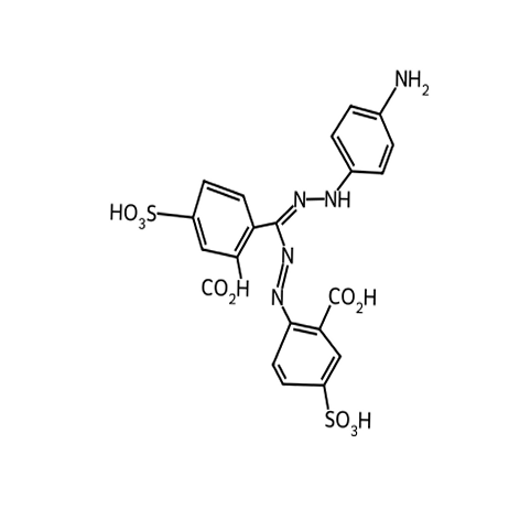 Nc1ccc(NN=C(N=Nc2ccc(S(=O)(=O)O)cc2C(=O)O)c2ccc(S(=O)(=O)O)cc2C(=O)O)cc1